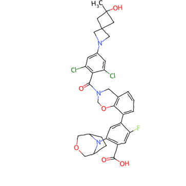 CC1(O)CC2(CN(c3cc(Cl)c(C(=O)N4COc5c(cccc5-c5cc(N6C7CCC6COC7)c(C(=O)O)cc5F)C4)c(Cl)c3)C2)C1